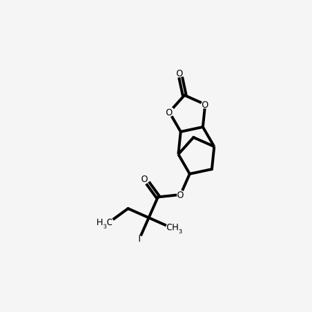 CCC(C)(I)C(=O)OC1CC2CC1C1OC(=O)OC21